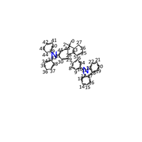 CC1(C)C2=C(C(c3cccc(-n4c5ccccc5c5ccccc54)c3)=CCC2)C2C=CC(N(C3=CCCC=C3)C3=CC=CCC3)=CC21